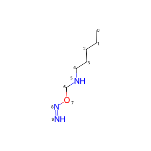 CCCCCNCON=N